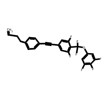 C=CCCc1ccc(C#Cc2cc(F)c(C(F)(F)Oc3cc(F)c(F)c(F)c3)c(F)c2)cc1